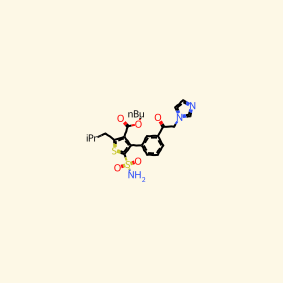 CCCCOC(=O)c1c(CC(C)C)sc(S(N)(=O)=O)c1-c1cccc(C(=O)Cn2ccnc2)c1